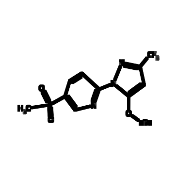 CCCCOc1cc(C(F)(F)F)nn1-c1ccc(S(C)(=O)=O)cn1